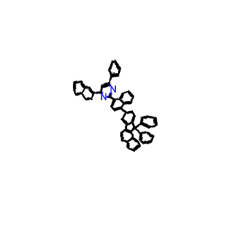 c1ccc(-c2cc(-c3ccc4ccccc4c3)nc(-c3ccc(-c4ccc5c(c4)-c4ccc6ccccc6c4C5(c4ccccc4)c4ccccc4)c4ccccc34)n2)cc1